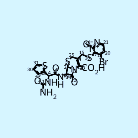 NC(=O)NC(C(=O)N[C@@H]1C(=O)N2C(C(=O)O)=C(CSc3c(Br)ccn[n+]3[O-])CSC12)c1cccs1